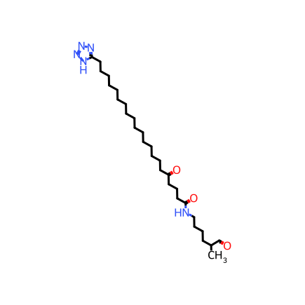 CC(C=O)CCCCNC(=O)CCCC(=O)CCCCCCCCCCCCCCCCc1nnn[nH]1